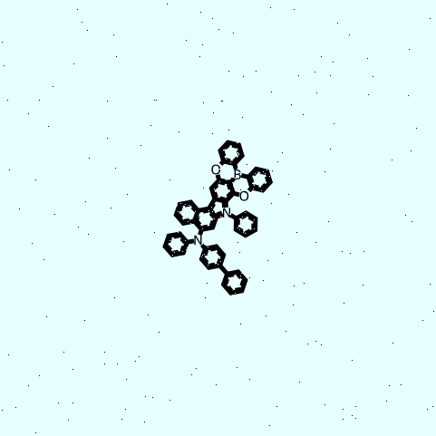 c1ccc(-c2ccc(N(c3ccccc3)c3cc4c(c5ccccc35)c3cc5c6c(c3n4-c3ccccc3)Oc3ccccc3B6c3ccccc3O5)cc2)cc1